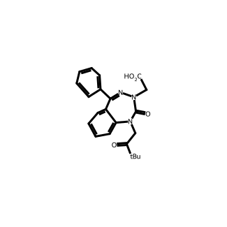 CC(C)(C)C(=O)CN1C(=O)N(CC(=O)O)N=C(c2ccccc2)c2ccccc21